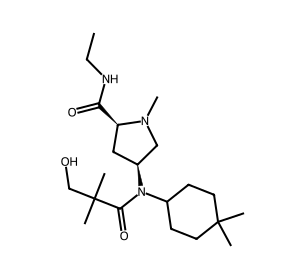 CCNC(=O)[C@@H]1C[C@H](N(C(=O)C(C)(C)CO)C2CCC(C)(C)CC2)CN1C